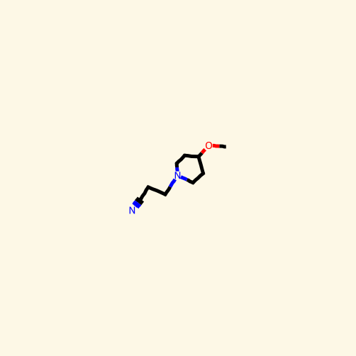 COC1CCN(CCC#N)CC1